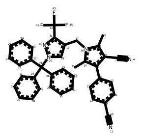 Cc1c(C#N)c(-c2ccc(C#N)cc2)c(C)n1Cc1cn(C(c2ccccc2)(c2ccccc2)c2ccccc2)nc1C(F)(F)F